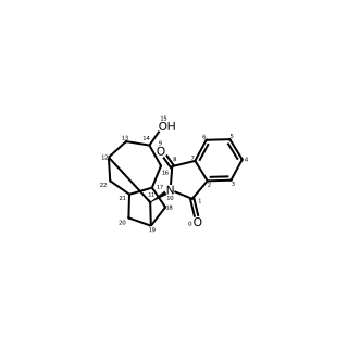 O=C1c2ccccc2C(=O)N1[C@@H]1C2CC(O)CC3CC1CC3C2